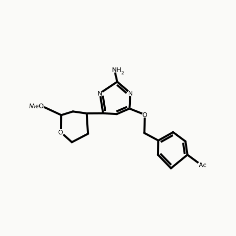 COC1CC(c2cc(OCc3ccc(C(C)=O)cc3)nc(N)n2)CCO1